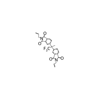 C=CCN1C(=O)c2ccc(C(C)(c3ccc4c(c3)C(=O)N(CC=C)C4=O)C(F)(F)F)cc2C1=O